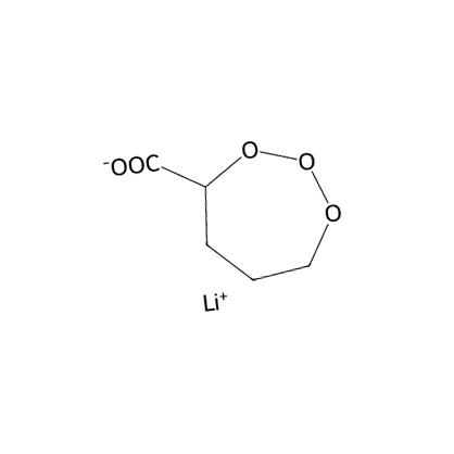 O=C([O-])C1CCCOOO1.[Li+]